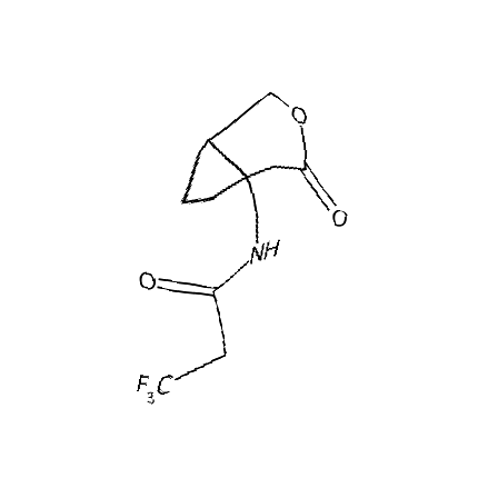 O=C(CC(F)(F)F)NC12CC1COC2=O